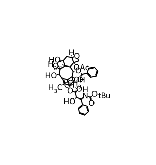 CC(=O)O[C@@]12CO[C@@H]1C[C@H](O)[C@@]1(C)C(=O)[C@H](O)C3=C(C)[C@@H](OC(=O)[C@H](O)C(NC(=O)OC(C)(C)C)c4ccccc4)C[C@@](O)([C@@H](OC(=O)c4ccccc4)C12)C3(C)C